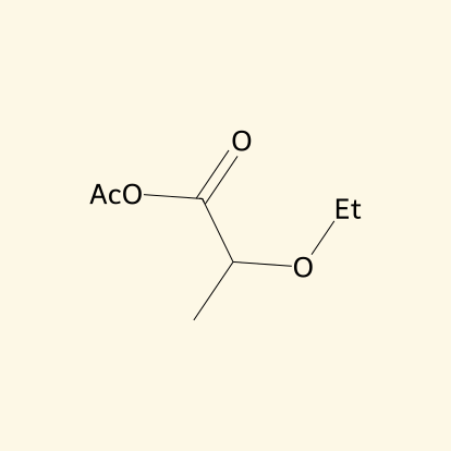 CCOC(C)C(=O)OC(C)=O